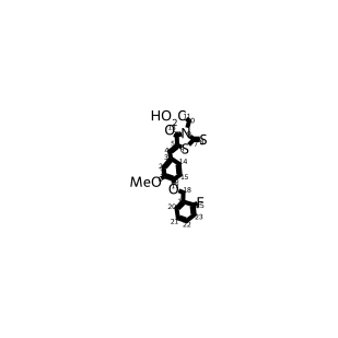 COc1cc(/C=C2\SC(=S)N(CC(=O)O)C2=O)ccc1OCc1ccccc1F